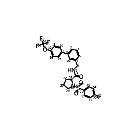 O=C(NCc1cccc(-c2ccc(OC(F)(F)F)cc2)c1)[C@@H]1CCCN1S(=O)(=O)c1ccc(F)cc1